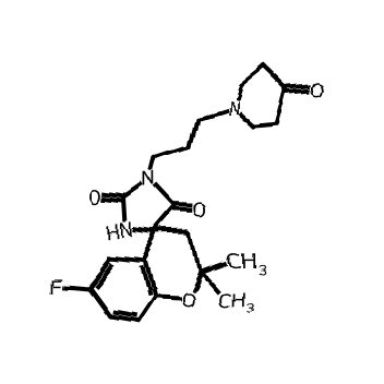 CC1(C)CC2(NC(=O)N(CCCN3CCC(=O)CC3)C2=O)c2cc(F)ccc2O1